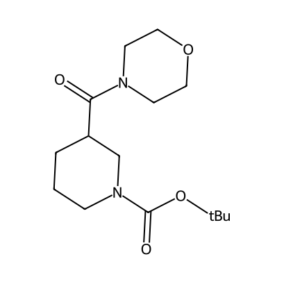 CC(C)(C)OC(=O)N1CCCC(C(=O)N2CCOCC2)C1